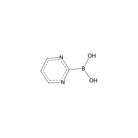 OB(O)c1ncccn1